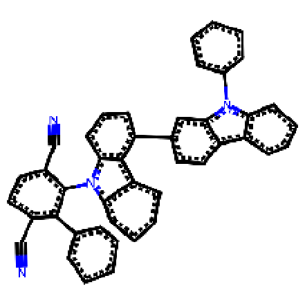 N#Cc1ccc(C#N)c(-n2c3ccccc3c3c(-c4ccc5c6ccccc6n(-c6ccccc6)c5c4)cccc32)c1-c1ccccc1